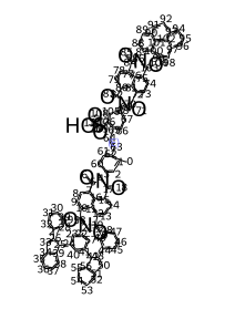 Cc1cc(N2C(=O)c3ccc4c5c(ccc(c35)C2=O)C(=O)N(c2cc(C3C(c5ccccc5)=Cc5ccccc53)cc(C3C(c5ccccc5)=Cc5ccccc53)c2)C4=O)ccc1/C=C/c1ccc(N2C(=O)c3ccc4c5c(ccc(c35)C2=O)C(=O)N(c2ccc3ccc5cccc6ccc2c3c56)C4=O)cc1S(=O)(=O)O